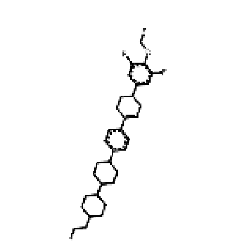 CCCC1CCC(C2CCC(c3ccc(C4=CCC(c5cc(F)c(OCF)c(F)c5)CC4)cc3)CC2)CC1